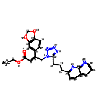 CCOC(=O)C=C(Cn1nnnc1CCCc1ccc2cccnc2n1)c1ccc2c(c1)OCO2